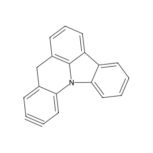 c1cc2c(cc#1)-n1c3ccccc3c3cccc(c31)C2